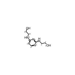 OCCNc1n[c]nc(NCCO)n1